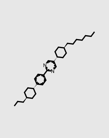 CCCCCCC[C@H]1CC[C@H](c2cnc(-c3ccc([C@H]4CC[C@H](CCC)CC4)cc3)nc2)CC1